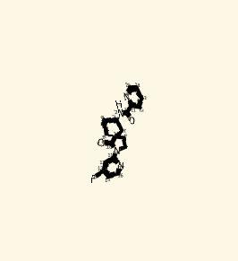 O=C(N[C@H]1CCC[C@]2(CCN(c3cc(F)ccn3)C2=O)C1)c1ccccn1